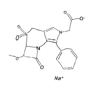 COC1C(=O)N2c3c(cn(CC(=O)[O-])c3-c3ccccc3)CS(=O)(=O)C12.[Na+]